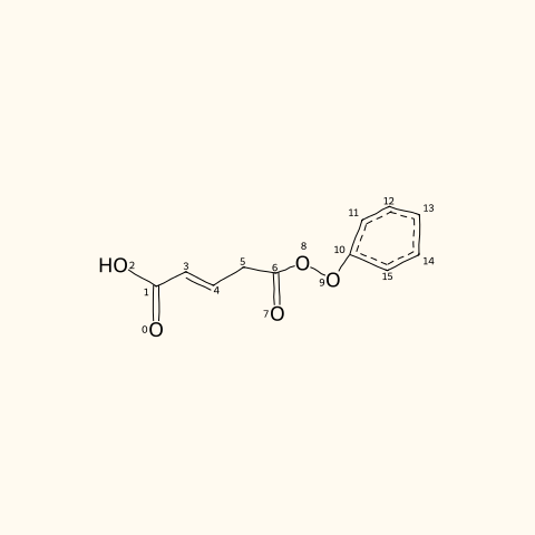 O=C(O)C=CCC(=O)OOc1ccccc1